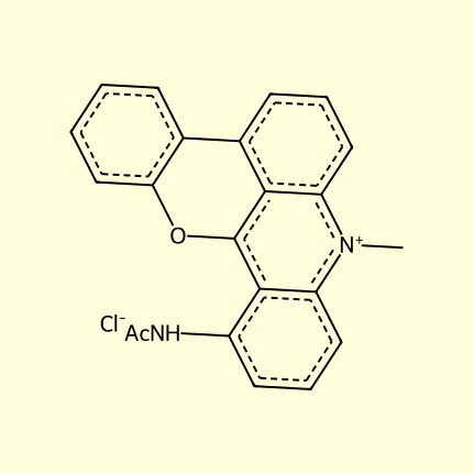 CC(=O)Nc1cccc2c1c1c3c(cccc3[n+]2C)-c2ccccc2O1.[Cl-]